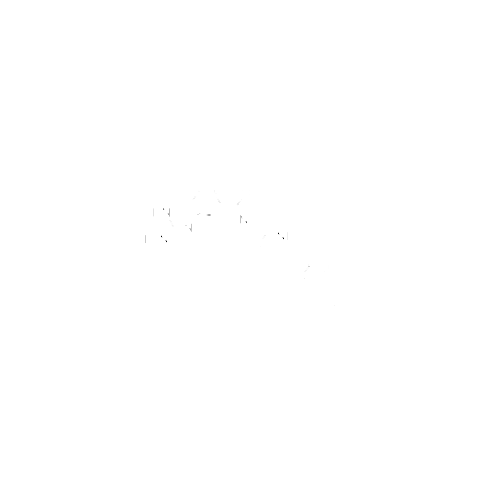 N=C(N)Nc1cccc(C(=O)NCC(=O)NCCC(=O)OC2CCCC2)c1